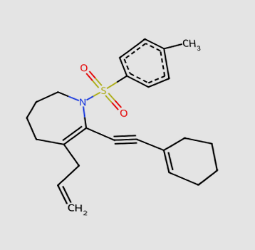 C=CCC1=C(C#CC2=CCCCC2)N(S(=O)(=O)c2ccc(C)cc2)CCCC1